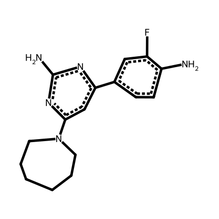 Nc1nc(-c2ccc(N)c(F)c2)cc(N2CCCCCC2)n1